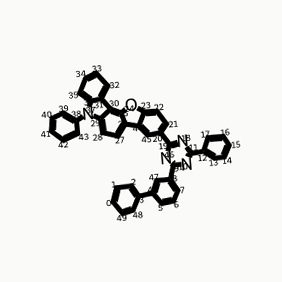 c1ccc(-c2cccc(-c3nc(-c4ccccc4)nc(-c4ccc5oc6c(ccc7c6c6ccccc6n7-c6ccccc6)c5c4)n3)c2)cc1